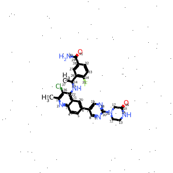 Cc1nc2ccc(-c3cnc(N4CCNC(=O)C4)nc3)cc2c(NC(C)c2cc(C(N)=O)ccc2F)c1Cl